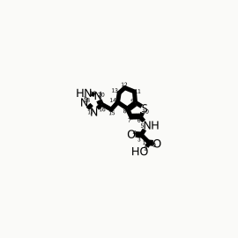 O=C(O)C(=O)Nc1cc2c(s1)CCCC2Cc1nn[nH]n1